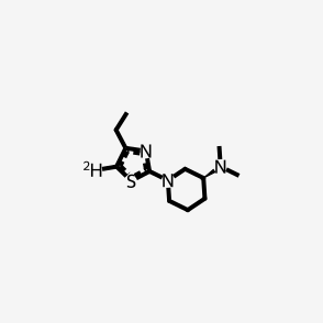 [2H]c1sc(N2CCC[C@H](N(C)C)C2)nc1CC